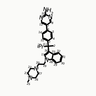 CC(C)C(C)(c1ccc(-c2cnc(N)nc2)cc1)c1cn(CCN2CCN(C)CC2)c2ccccc12